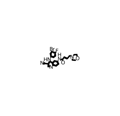 N#Cc1cnc2ccc(NC(=O)/C=C/CN3CCOCC3)cc2c1Nc1ccc(F)c(Br)c1